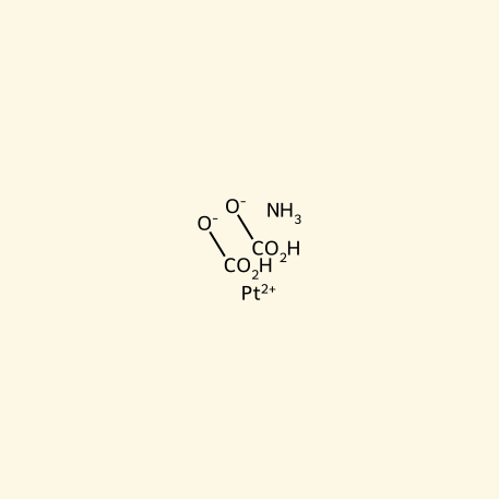 N.O=C([O-])O.O=C([O-])O.[Pt+2]